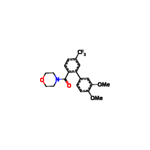 COc1ccc(-c2cc(C(F)(F)F)ccc2C(=O)N2CCOCC2)cc1OC